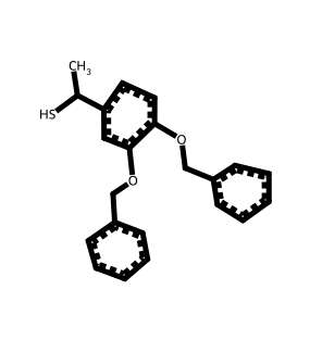 CC(S)c1ccc(OCc2ccccc2)c(OCc2ccccc2)c1